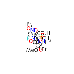 CCOc1cc2c(cc1OC)C[C@H]([C@@H](CS(C)(=O)=O)[C@H]1[C@H](C(=O)C(=O)O)c3c(NC(=O)CC(C)C)ccc(F)c3N1C(=O)C(=O)O)N2